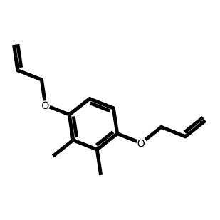 C=CCOc1ccc(OCC=C)c(C)c1C